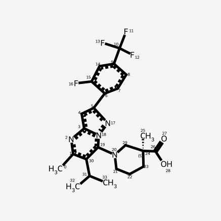 Cc1nc2cc(-c3ccc(C(F)(F)F)cc3F)nn2c(N2CCC[C@](C)(C(=O)O)C2)c1C(C)C